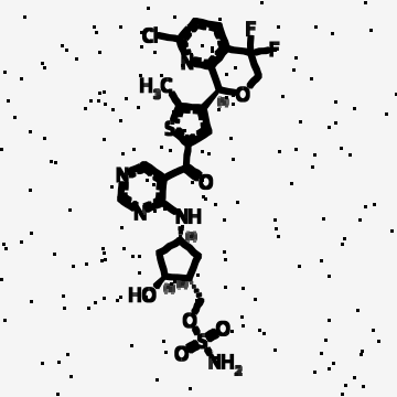 Cc1sc(C(=O)c2cncnc2N[C@@H]2C[C@H](COS(N)(=O)=O)[C@@H](O)C2)cc1[C@@H]1OCC(F)(F)c2ccc(Cl)nc21